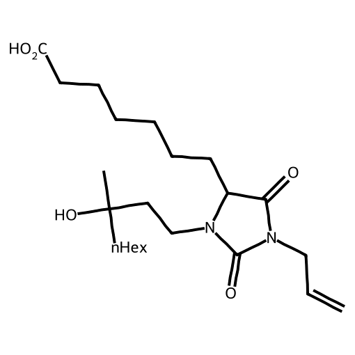 C=CCN1C(=O)C(CCCCCCC(=O)O)N(CCC(C)(O)CCCCCC)C1=O